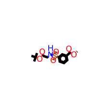 COC(=O)c1cccc(S(=O)(=O)NCC(=O)OC(C)(C)C)c1